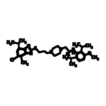 COc1ccc(C(C)C)c(NC(=O)CN2CCN(CCCSc3nc4c(C)c(Cl)cc(C(C)C)c4o3)CC2)c1C(C)C